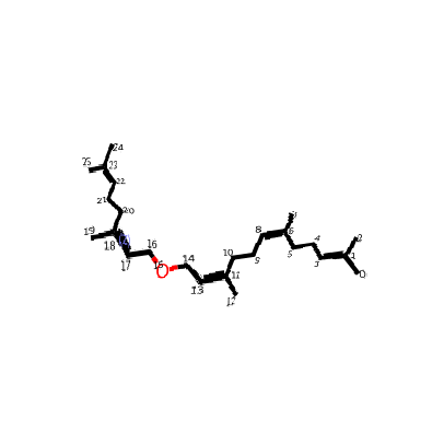 CC(C)=CCCC(C)=CCCC(C)=CCOC/C=C(/C)CCC=C(C)C